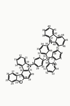 c1ccc([Si](c2ccc(-n3c4ccccc4c4c5c(ccc43)oc3ccccc35)cc2)(c2cccc(-n3c4ccccc4c4ccccc43)c2)c2ccccn2)cc1